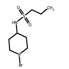 CCCS(=O)(=O)NC1CCN(Br)CC1